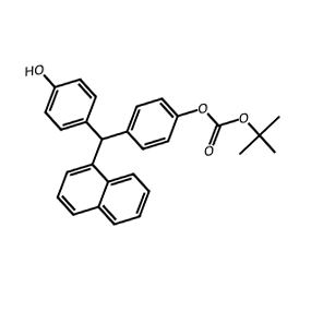 CC(C)(C)OC(=O)Oc1ccc(C(c2ccc(O)cc2)c2cccc3ccccc23)cc1